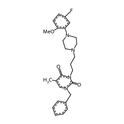 COc1ccc(F)cc1N1CCN(CCCn2c(=O)c(C)cn(Cc3ccccc3)c2=O)CC1